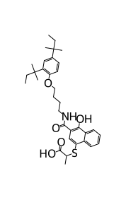 CCC(C)(C)c1ccc(OCCCCNC(=O)c2cc(SC(C)C(=O)O)c3ccccc3c2O)c(C(C)(C)CC)c1